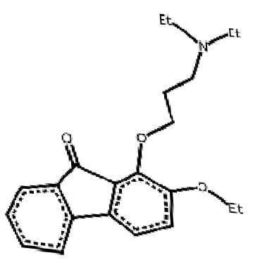 CCOc1ccc2c(c1OCCCN(CC)CC)C(=O)c1ccccc1-2